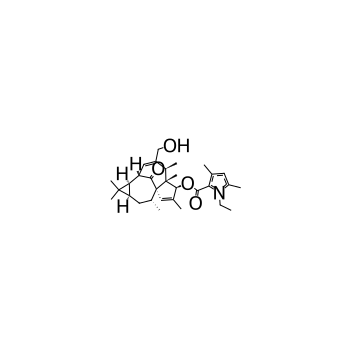 CCn1c(C)cc(C)c1C(=O)O[C@H]1C(C)=C[C@]23C(=O)[C@@H](C=C(CO)[C@@H](C)[C@]12C)[C@H]1[C@@H](C[C@H]3C)C1(C)C